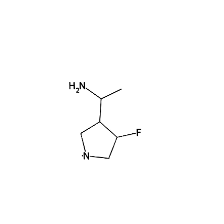 CC(N)C1C[N]CC1F